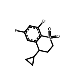 O=S1(=O)CCC(C2CC2)c2cc(F)cc(Br)c21